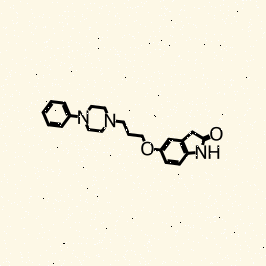 O=C1Cc2cc(OCCCN3CCN(c4ccccc4)CC3)ccc2N1